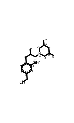 CC(Cc1ccc(CCl)cc1C(C)C)CN1CC(C)CC(C)C1